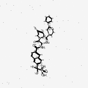 CC(C)(C)[C@H](NC(=O)c1ccc2cc(C(F)(F)P(=O)(O)O)ccc2c1)C(=O)N1CCC[C@H]1C(=O)N1CCO[C@H](c2ccccc2)C1